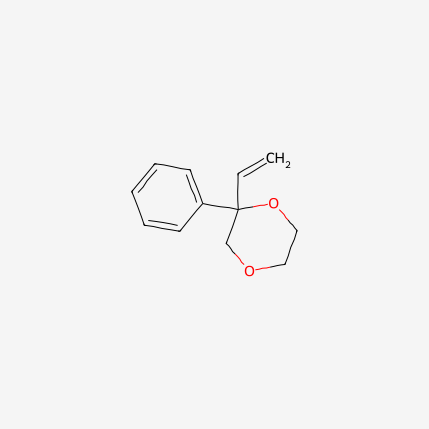 C=CC1(c2ccccc2)COCCO1